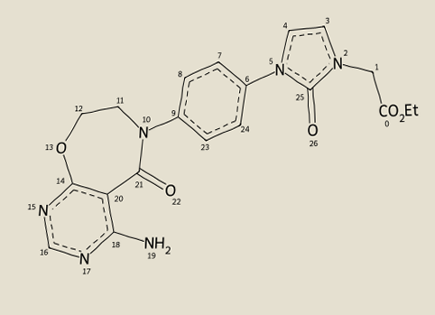 CCOC(=O)Cn1ccn(-c2ccc(N3CCOc4ncnc(N)c4C3=O)cc2)c1=O